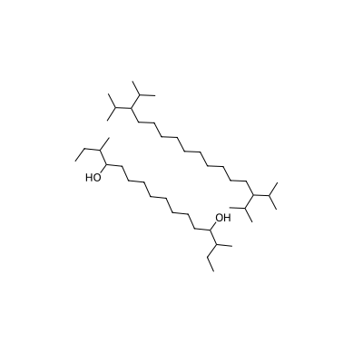 CC(C)C(CCCCCCCCCCC(C(C)C)C(C)C)C(C)C.CCC(C)C(O)CCCCCCCCC(O)C(C)CC